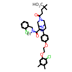 CCN(Cc1ccccc1Cl)C(=O)C1=C(c2ccc(OCCOc3cc(C)c(C)cc3Cl)cc2)CC2CN(C(=O)CCC(C)(C)C(=O)O)CC1N2